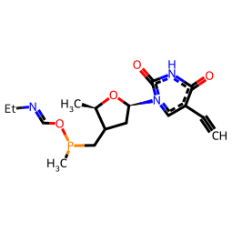 C#Cc1cn([C@H]2CC(CP(C)O/C=N/CC)[C@@H](C)O2)c(=O)[nH]c1=O